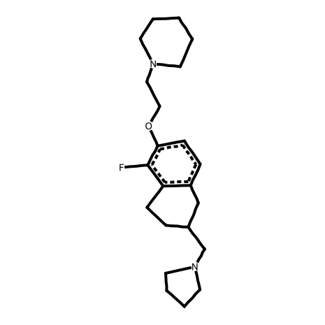 Fc1c(OCCN2CCCCC2)ccc2c1CCC(CN1CCCC1)C2